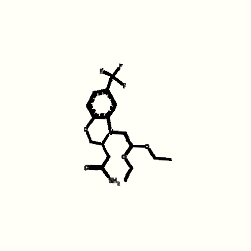 CCOC(CN1c2cc(C(F)(F)F)ccc2OCC1CC(N)=O)OCC